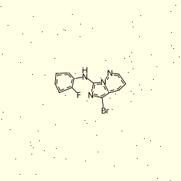 Fc1ccccc1Nc1nc(Br)c2cccnn12